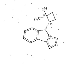 C[C@]1(O)CC[C@@H]1C1c2ccccc2-c2cncn21